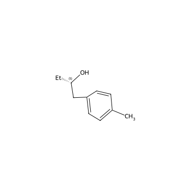 CC[C@H](O)Cc1ccc(C)cc1